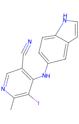 Cc1ncc(C#N)c(Nc2ccc3[nH]ccc3c2)c1I